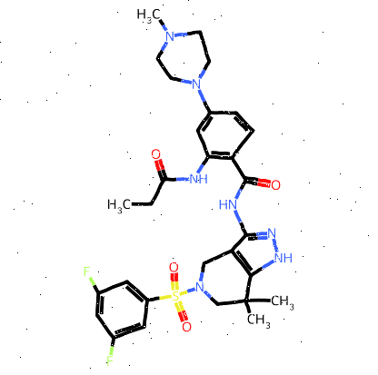 CCC(=O)Nc1cc(N2CCN(C)CC2)ccc1C(=O)Nc1n[nH]c2c1CN(S(=O)(=O)c1cc(F)cc(F)c1)CC2(C)C